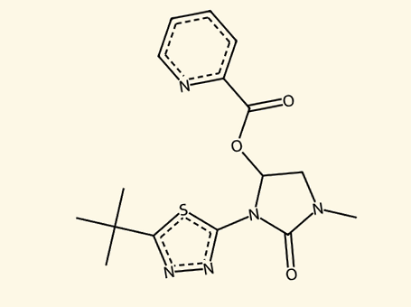 CN1CC(OC(=O)c2ccccn2)N(c2nnc(C(C)(C)C)s2)C1=O